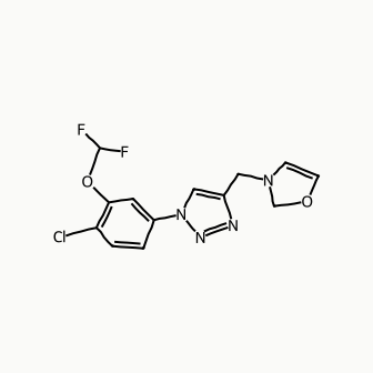 FC(F)Oc1cc(-n2cc(CN3C=COC3)nn2)ccc1Cl